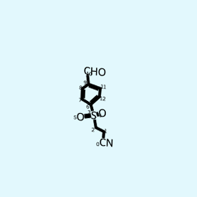 N#CCCS(=O)(=O)c1ccc(C=O)cc1